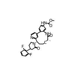 COC(=O)Nc1ccc2c(c1)NC(=O)[C@H](C)CCC[C@H](N1CCC(c3c(F)cccc3F)CC1=O)c1cc-2ccn1